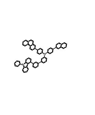 c1ccc(-n2c3ccccc3c3c(-c4cccc(-c5cccc(N(c6ccc(-c7ccc8ccccc8c7)cc6)c6ccc(-c7ccc8c(ccc9ccccc98)c7)cc6)c5)c4)cccc32)cc1